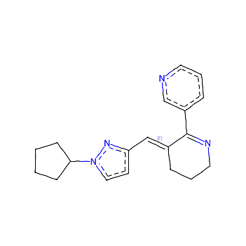 C(=C1/CCCN=C1c1cccnc1)/c1ccn(C2CCCC2)n1